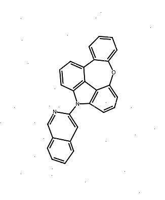 c1ccc2cc(-n3c4cccc5oc6ccccc6c6cccc3c6c54)ncc2c1